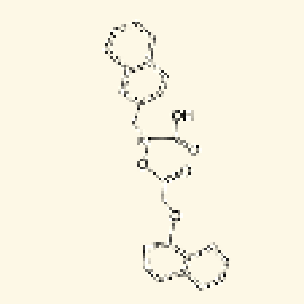 O=C(COc1cccc2ccccc12)O[C@H](Cc1ccc2ccccc2c1)C(=O)O